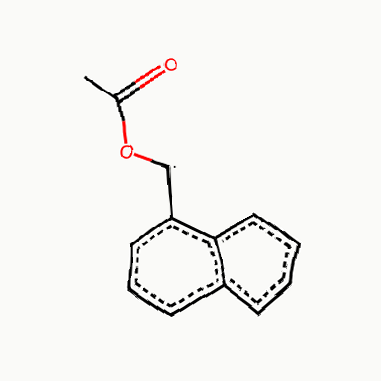 CC(=O)O[CH]c1cccc2ccccc12